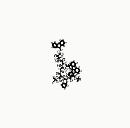 C[C@@H](OC(C)(C)C)[C@H](N)C(=O)N[C@@H](Cc1ccccc1)C(=O)N[C@H](C(=O)NCC(=O)N[C@@H](CCC(=O)NC(c1ccccc1)(c1ccccc1)c1ccccc1)C(=O)NC(C)(C)C(=O)C(=O)OCC1c2ccccc2-c2ccccc21)[C@@H](C)OC(C)(C)C